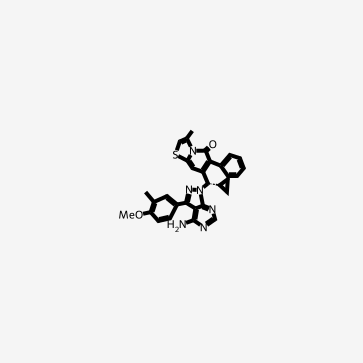 COc1ccc(-c2nn([C@H](c3cc4scc(C)n4c(=O)c3-c3ccccc3)C3CC3)c3ncnc(N)c23)cc1C